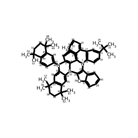 Cc1cc2c3c(c1)N(c1ccc(C(C)(C)C)cc1-c1ccccc1)c1c(oc4ccccc14)B3c1cc3c(cc1N2c1ccc2c(c1)C(C)(C)CCC2(C)C)C(C)(C)CCC3(C)C